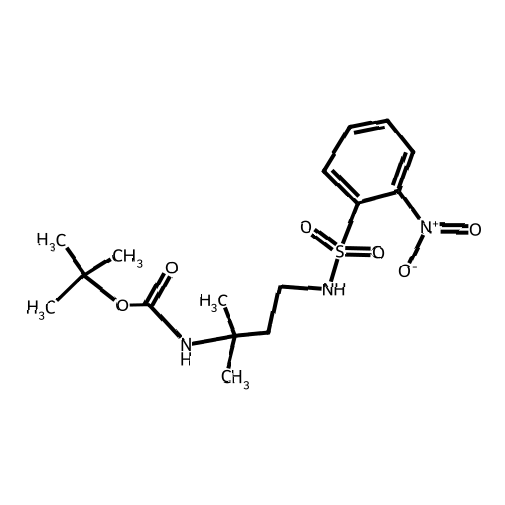 CC(C)(CCNS(=O)(=O)c1ccccc1[N+](=O)[O-])NC(=O)OC(C)(C)C